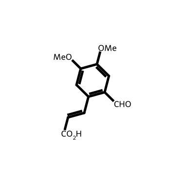 COc1cc(C=O)c(C=CC(=O)O)cc1OC